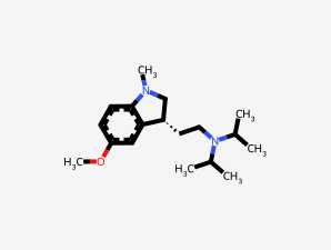 COc1ccc2c(c1)[C@@H](CCN(C(C)C)C(C)C)CN2C